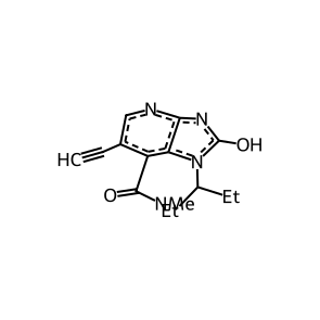 C#Cc1cnc2nc(O)n(C(CC)CC)c2c1C(=O)NC